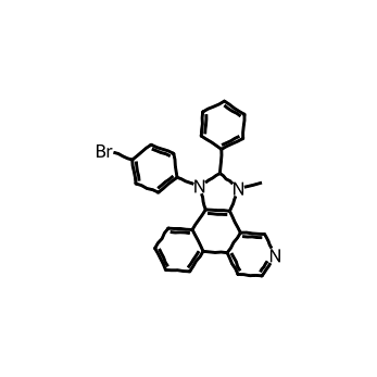 CN1c2c(c3ccccc3c3ccncc23)N(c2ccc(Br)cc2)C1c1ccccc1